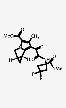 CNC(=O)C1(NC(=O)C(=O)c2c(C)c(C(=O)OC)n3c2[C@@H]2C[C@@H]2C3)CC(F)(F)C1